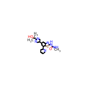 CNC(=O)Nc1nc2cc(-c3cnc(C(C)(C)O)nc3)cc(-c3ccccn3)c2s1